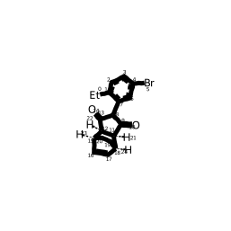 CCc1ccc(Br)cc1C1C(=O)[C@@H]2[C@H](C1=O)[C@@H]1C=C[C@H]2CC1